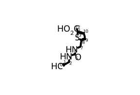 C#CCNC(=O)NCc1ccc(C(=O)O)s1